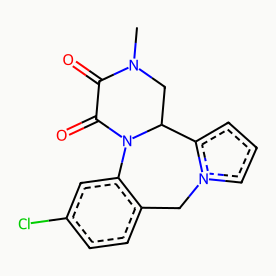 CN1CC2c3cccn3Cc3ccc(Cl)cc3N2C(=O)C1=O